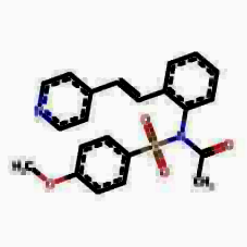 COc1ccc(S(=O)(=O)N(C(C)=O)c2ccccc2C=Cc2ccncc2)cc1